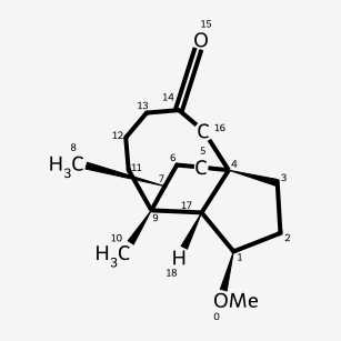 CO[C@@H]1CC[C@@]23CC[C@@H](C)[C@@](C)(CCCC(=O)C2)[C@@H]13